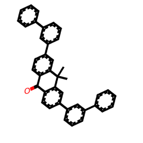 CC1(C)c2cc(-c3cccc(-c4ccccc4)c3)ccc2C(=O)c2ccc(-c3cccc(-c4ccccc4)c3)cc21